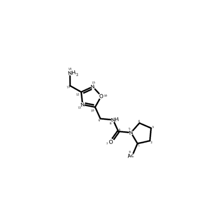 CC(=O)C1CCCN1C(=O)NCc1nc(CN)no1